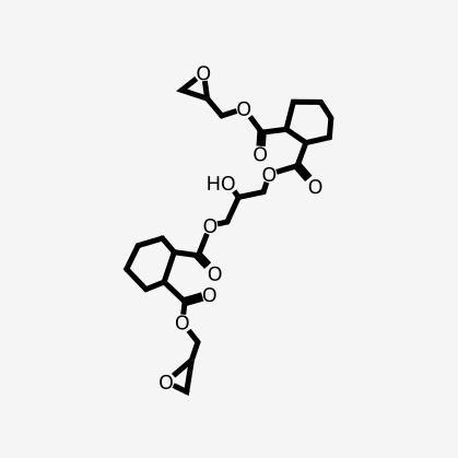 O=C(OCC(O)COC(=O)C1CCCCC1C(=O)OCC1CO1)C1CCCCC1C(=O)OCC1CO1